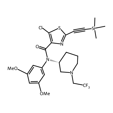 COc1cc(OC)cc(N(C(=O)c2nc(C#C[Si](C)(C)C)sc2Cl)[C@@H]2CCCN(CC(F)(F)F)C2)c1